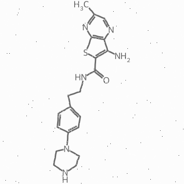 Cc1cnc2c(N)c(C(=O)NCCc3ccc(N4CCNCC4)cc3)sc2n1